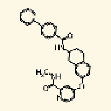 CNC(=O)c1cc(Oc2ccc3c(c2)CC(NC(=O)c2ccc(-c4ccccc4)cc2)CC3)ccn1